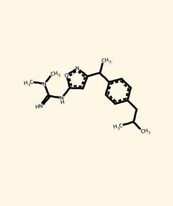 CC(C)Cc1ccc(C(C)c2cc(NC(=N)N(C)C)on2)cc1